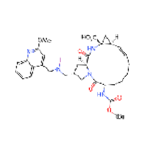 COc1cc(CN(I)C[C@@H]2C[C@H]3C(=O)N[C@]4(C(=O)O)C[C@H]4/C=C\CCCC[C@@H](NC(=O)OC(C)(C)C)C(=O)N3C2)c2ccccc2n1